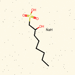 CCCCCCC(O)CS(=O)(=O)O.[NaH]